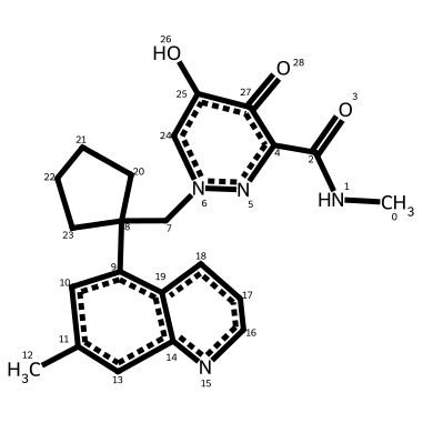 CNC(=O)c1nn(CC2(c3cc(C)cc4ncccc34)CCCC2)cc(O)c1=O